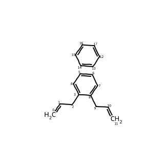 C=CCc1ccccc1CC=C.c1ccccc1